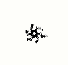 Nc1c(OSF)c(SF)c(SF)c(SF)c1SF